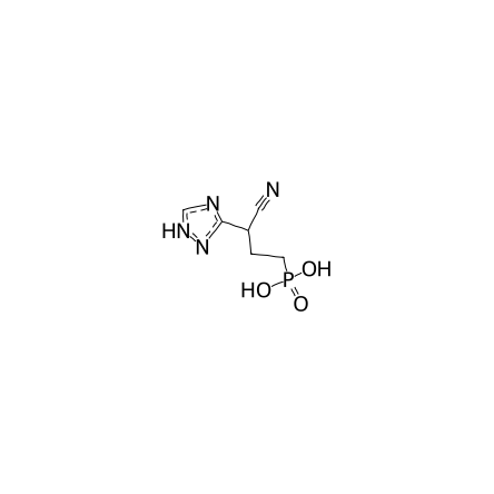 N#CC(CCP(=O)(O)O)c1nc[nH]n1